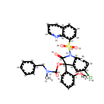 COc1ccccc1C1(OC(=O)N(C)Cc2ccccc2)C(=O)N(S(=O)(=O)c2cccc3cccnc23)c2ccc(Cl)cc21